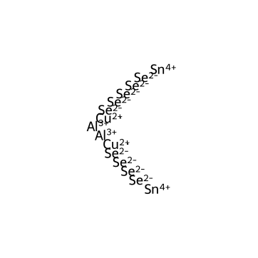 [Al+3].[Al+3].[Cu+2].[Cu+2].[Se-2].[Se-2].[Se-2].[Se-2].[Se-2].[Se-2].[Se-2].[Se-2].[Se-2].[Sn+4].[Sn+4]